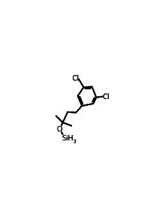 CC(C)(CCc1cc(Cl)cc(Cl)c1)O[SiH3]